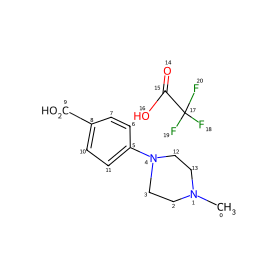 CN1CCN(c2ccc(C(=O)O)cc2)CC1.O=C(O)C(F)(F)F